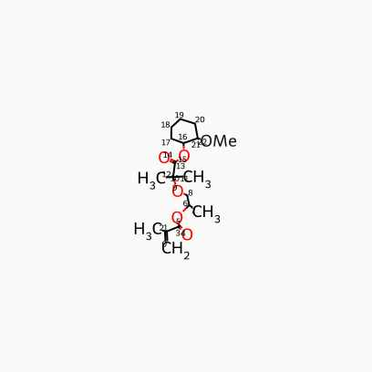 C=C(C)C(=O)OC(C)COC(C)(C)C(=O)OC1CCCCC1OC